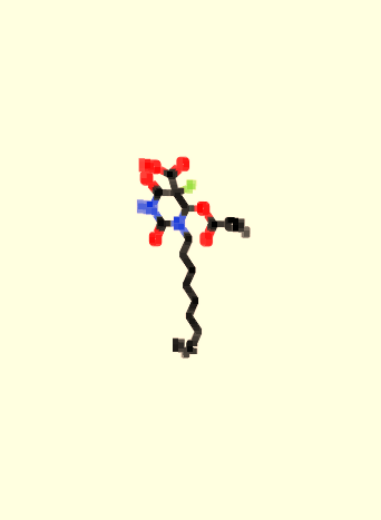 CCCCCCCCN1C(=O)NC(=O)C(F)(C(=O)O)C1OC(C)=O